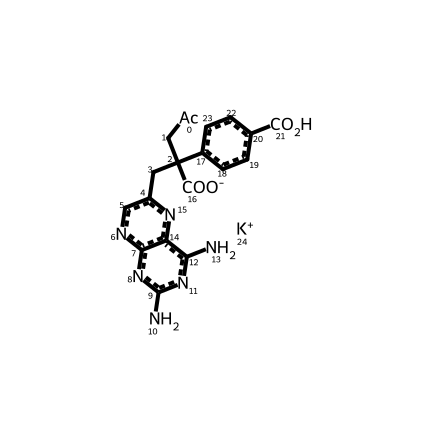 CC(=O)CC(Cc1cnc2nc(N)nc(N)c2n1)(C(=O)[O-])c1ccc(C(=O)O)cc1.[K+]